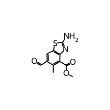 COC(=O)c1c(C)c(C=O)cc2sc(N)nc12